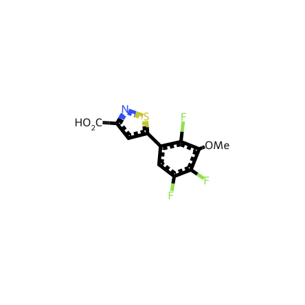 COc1c(F)c(F)cc(-c2cc(C(=O)O)ns2)c1F